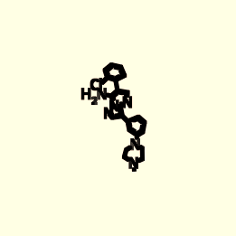 CN1CCN(c2cccc(-c3cnn4c(N)c(-c5ccccc5Cl)cnc34)c2)CC1